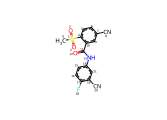 CS(=O)(=O)c1ccc(C#N)cc1C(=O)Nc1ccc(F)c(C#N)c1